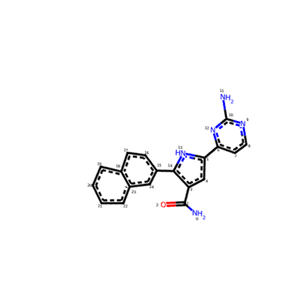 NC(=O)c1cc(-c2ccnc(N)n2)[nH]c1-c1ccc2ccccc2c1